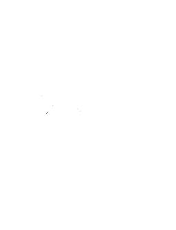 CC1CN(C2CCCCCCCCC2)C[C@@H]2CC12